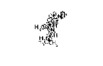 CO/N=C(\C(=O)N[C@@H]1C(=O)N2C(C(=O)[O-])=C(Cn3cc[n+]4ccccc34)CS[C@@H]12)c1nsc(NC(=O)OC(C)(C)C)n1